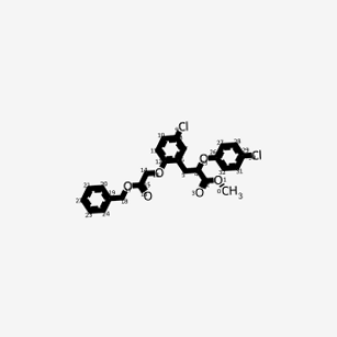 COC(=O)C(Cc1cc(Cl)ccc1OCC(=O)OCc1ccccc1)Oc1ccc(Cl)cc1